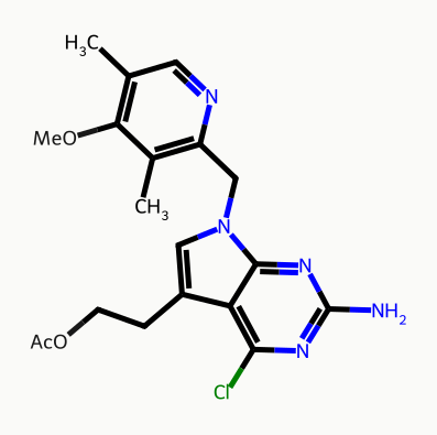 COc1c(C)cnc(Cn2cc(CCOC(C)=O)c3c(Cl)nc(N)nc32)c1C